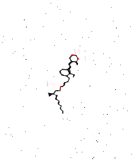 C=C1/C(=C\C=C2/CCC[C@]3(C)[C@@H]([C@H](C)/C=C/[C@@H](O)CCC4(C(=O)CCCCCCC)CC4)CC[C@@H]23)C[C@@H](O)C[C@@H]1O